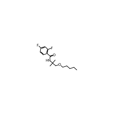 CCCCCOCC(C)(C)NC(=O)c1ccc(F)cc1F